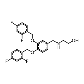 OCCNCc1ccc(OCc2ccc(F)cc2F)c(OCc2ccc(F)cc2F)c1